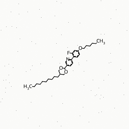 CCCCCCCCCCC1COC(c2ccc(-c3ccc(OCCCCCC)cc3F)nc2)OC1